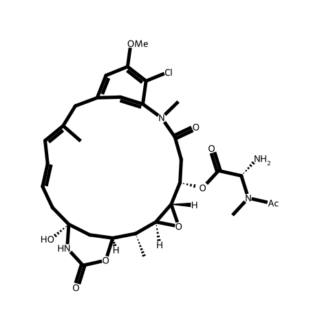 COc1cc2cc(c1Cl)N(C)C(=O)C[C@H](OC(=O)[C@H](N)N(C)C(C)=O)[C@@H]1O[C@H]1[C@H](C)[C@@H]1C[C@](O)(C/C=C/C=C(\C)C2)NC(=O)O1